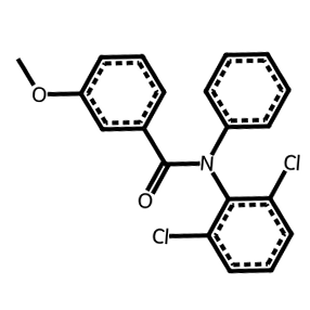 COc1cccc(C(=O)N(c2ccccc2)c2c(Cl)cccc2Cl)c1